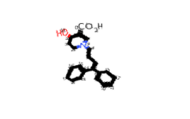 O=C(O)C1CN(CCC=C(c2ccccc2)c2ccccc2)CCC1O